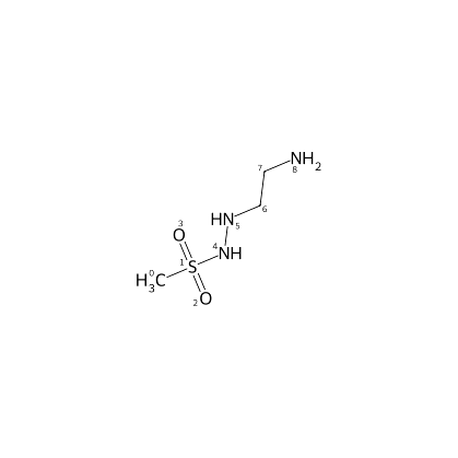 CS(=O)(=O)NNCCN